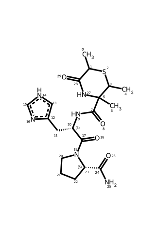 CC1SC(C)C(C)(C(=O)N[C@@H](Cc2c[nH]cn2)C(=O)N2CCC[C@H]2C(N)=O)NC1=O